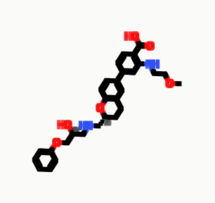 COCCNc1cc(-c2ccc3c(c2)CC[C@H](CNC[C@H](O)COc2ccccc2)O3)ccc1C(=O)O